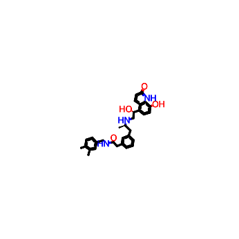 Cc1ccc(CNC(=O)Cc2cccc(C[C@@H](C)NC[C@H](O)c3ccc(O)c4[nH]c(=O)ccc34)c2)cc1C